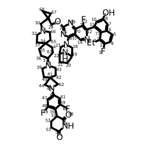 CCc1c(F)ccc2cc(O)cc(-c3ncc4c(N5CC6CCC(C5)N6)nc(OCC5(CN6CCC7(CCC(N8CCC9(CC8)CN(c8cc(F)c(C%10CCC(=O)NC%10=O)c(F)c8)C9)CC7)CC6)CC5)nc4c3F)c12